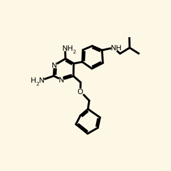 CC(C)CNc1ccc(-c2c(N)nc(N)nc2COCc2ccccc2)cc1